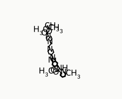 COc1cc2nn(C3CCN(CCN4CCN(C(=O)OC(C)(C)C)CC4)CC3)cc2cc1NC(=O)c1cccc(C)n1